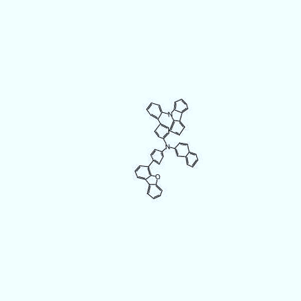 c1ccc(-n2c3ccccc3c3ccccc32)c(-c2ccc(N(c3ccc(-c4cccc5c4oc4ccccc45)cc3)c3ccc4ccccc4c3)cc2)c1